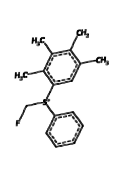 Cc1cc([S+](CF)c2ccccc2)c(C)c(C)c1C